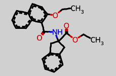 CCOC(=O)C1(NC(=O)c2c(OCC)ccc3ccccc23)Cc2ccccc2C1